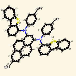 CC(C)c1ccc(N(c2cc(N(c3ccc(C(C)C)cc3)c3cccc4c3sc3ccccc34)c3ccc4cc(C(C)(C)C)cc5ccc2c3c54)c2cccc3c2sc2ccccc23)cc1